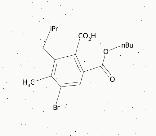 CCCCOC(=O)c1cc(Br)c(C)c(CC(C)C)c1C(=O)O